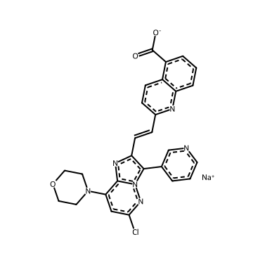 O=C([O-])c1cccc2nc(/C=C/c3nc4c(N5CCOCC5)cc(Cl)nn4c3-c3cccnc3)ccc12.[Na+]